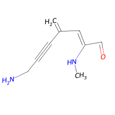 C=C(C#CCN)/C=C(/C=O)NC